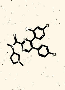 CN1CCC(N(C)C(=O)c2ncc(-c3ccc(Cl)cc3)c(-c3ccc(Cl)cc3Cl)n2)C1